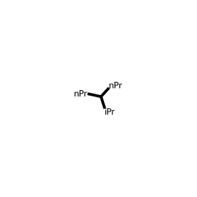 [CH2]CCC(CCC)C(C)C